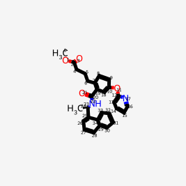 COC(=O)CCCc1ccc(Oc2ccccn2)cc1C(=O)N[C@H](C)c1cccc2ccccc12